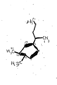 CCC[C](C)c1ccc(C)c(C)c1